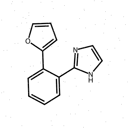 c1coc(-c2ccccc2-c2ncc[nH]2)c1